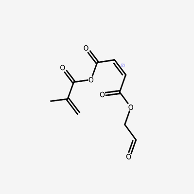 C=C(C)C(=O)OC(=O)/C=C\C(=O)OCC=O